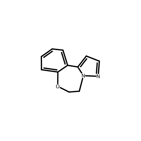 c1ccc2c(c1)OCCn1nccc1-2